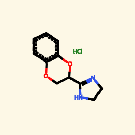 Cl.c1ccc2c(c1)OCC(C1=NCCN1)O2